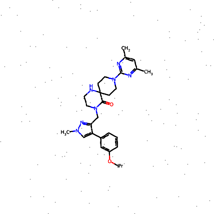 Cc1cc(C)nc(N2CCC3(CC2)NCCN(Cc2nn(C)cc2-c2cccc(OC(C)C)c2)C3=O)n1